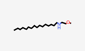 CCCCCCCCCCCCCCCCNCCOC